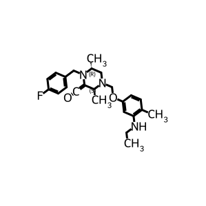 CCNc1cc(OCN2C[C@@H](C)N(Cc3ccc(F)cc3)C(=C=O)[C@@H]2C)ccc1C